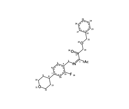 CC(=O)/C(=N/Cc1ccc(C2CCOCC2)cc1F)C(=O)COCc1ccccc1